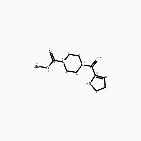 CC(C)(C)OC(=O)N1CCN(C(=O)C2=CCCS2)CC1